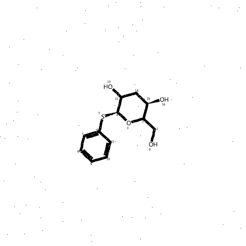 OCC1O[C@@H](Sc2ccccc2)C(O)C[C@H]1O